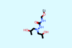 CCOCNC(=O)NN(CC(C)O)CC(C)O